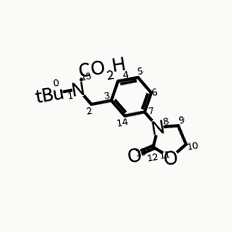 CC(C)(C)N(Cc1cccc(N2CCOC2=O)c1)C(=O)O